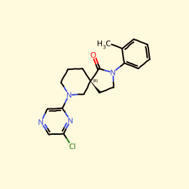 Cc1ccccc1N1CC[C@@]2(CCCN(c3cncc(Cl)n3)C2)C1=O